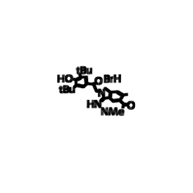 Br.CNC(=O)c1cc2c(cc1C)CN(CC(=O)c1cc(C(C)(C)C)c(O)c(C(C)(C)C)c1)C2=N